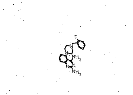 Nc1nc(N)c2c(N3CCN(Cc4ccccc4F)CC3)cccc2n1